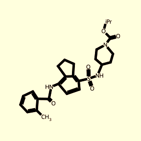 Cc1ccccc1C(=O)Nc1ccc(S(=O)(=O)NC2CCN(C(=O)OC(C)C)CC2)c2c1CCC2